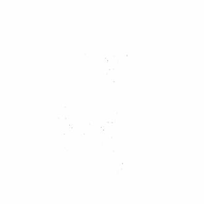 CC1(C)c2ccccc2-c2ccc(N(c3ccc(-c4cccc(-c5ccc6c(c5)c5c7ccccc7ccc5n6-c5ccccc5)c4)cc3)c3ccc(N(c4ccccc4)c4ccccc4)cc3)cc21